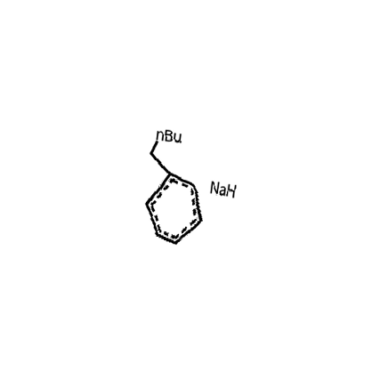 CCCCCc1ccccc1.[NaH]